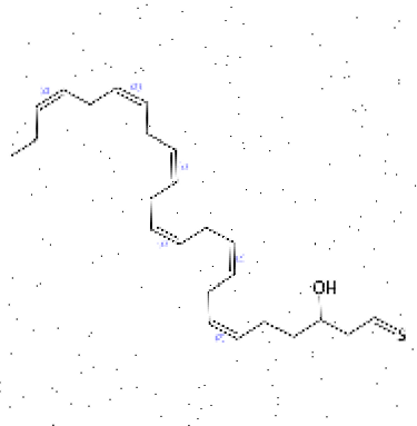 CC/C=C\C/C=C\C/C=C\C/C=C\C/C=C\C/C=C\CCC(O)CC=S